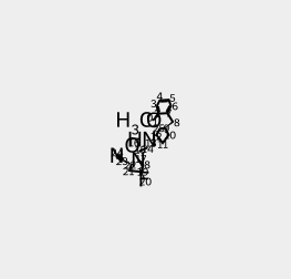 COc1ccccc1C[C@H]1CC[C@@H](NCC(=O)N2C[C@@H](F)C[C@H]2C#N)C1